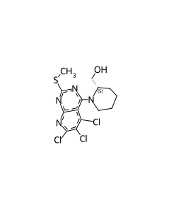 CSc1nc(N2CCCC[C@H]2CO)c2c(Cl)c(Cl)c(Cl)nc2n1